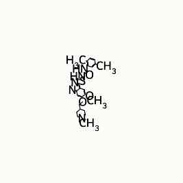 COc1cc2c(SNC(=O)Nc3cc(C)ccc3C)ncnc2cc1OCC1CCN(C)CC1